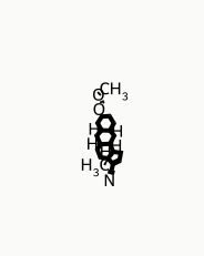 COCO[C@@H]1CC[C@@H]2C[C@H]3[C@@H](CC[C@@]4(C)C(C#N)=CC[C@H]34)C[C@H]2C1